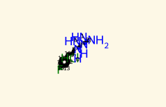 Cl.N=C(N)NC(=N)NCCCc1ccc(F)cc1